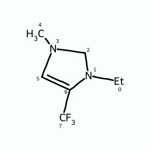 CCN1CN(C)C=C1C(F)(F)F